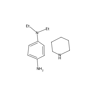 C1CCNCC1.CCN(CC)c1ccc(N)cc1